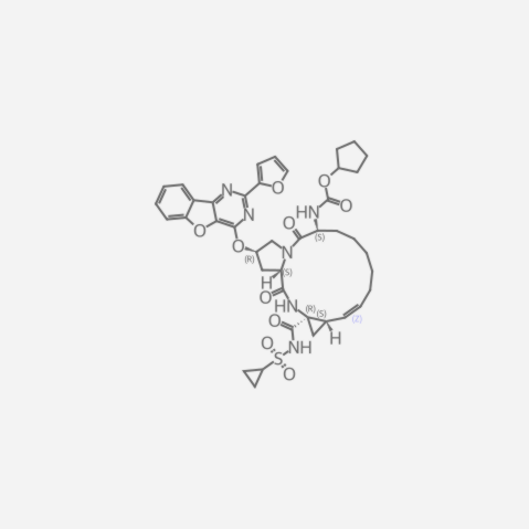 O=C(N[C@H]1CCCCC/C=C\[C@@H]2C[C@@]2(C(=O)NS(=O)(=O)C2CC2)NC(=O)[C@@H]2C[C@@H](Oc3nc(-c4ccco4)nc4c3oc3ccccc34)CN2C1=O)OC1CCCC1